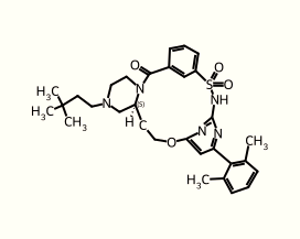 Cc1cccc(C)c1-c1cc2nc(n1)NS(=O)(=O)c1cccc(c1)C(=O)N1CCN(CCC(C)(C)C)C[C@@H]1CCO2